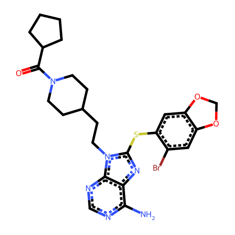 Nc1ncnc2c1nc(Sc1cc3c(cc1Br)OCO3)n2CCC1CCN(C(=O)C2CCCC2)CC1